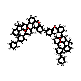 Cc1cc(-c2ccc(N(c3ccc(-c4ccc(-c5ccccc5)cc4)cc3)c3c(C)cccc3-c3ccc4c(c3)C(C)(C)c3ccccc3-4)c(C)c2)ccc1N(c1ccc(-c2ccc(-c3ccccc3)cc2)cc1)c1c(C)cccc1-c1ccc2c(c1)C(C)(C)c1ccccc1-2